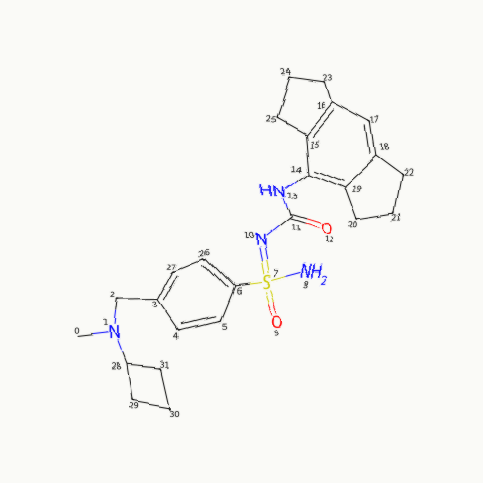 CN(Cc1ccc(S(N)(=O)=NC(=O)Nc2c3c(cc4c2CCC4)CCC3)cc1)C1CCC1